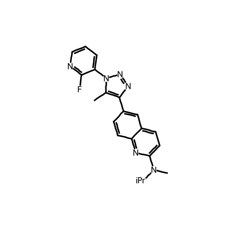 Cc1c(-c2ccc3nc(N(C)C(C)C)ccc3c2)nnn1-c1cccnc1F